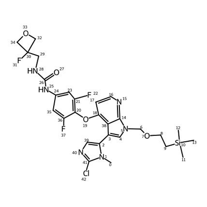 Cn1c(-c2cn(COCC[Si](C)(C)C)c3nccc(Oc4c(F)cc(NC(=O)NCC5(F)COC5)cc4F)c23)cnc1Cl